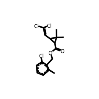 Cc1cccc(Cl)c1COC(=O)C1C(C=C(Cl)Cl)C1(C)C